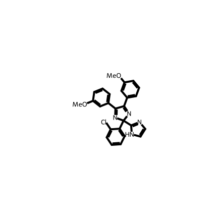 COc1cccc(C2=NC(c3ncc[nH]3)(c3ccccc3Cl)N=C2c2cccc(OC)c2)c1